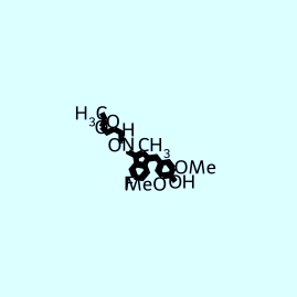 COc1cc(/C=C2/C(C)=C(CNC(=O)CC3COC(C)O3)c3cc(F)ccc32)cc(OC)c1O